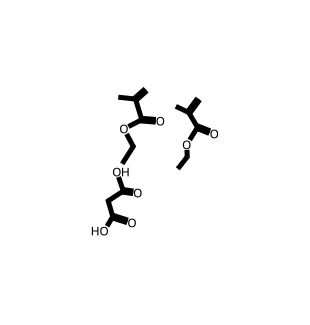 C=C(C)C(=O)OCC.C=C(C)C(=O)OCC.O=C(O)CC(=O)O